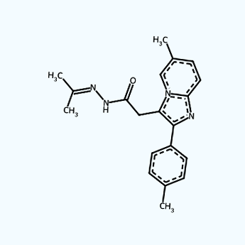 CC(C)=NNC(=O)Cc1c(-c2ccc(C)cc2)nc2ccc(C)cn12